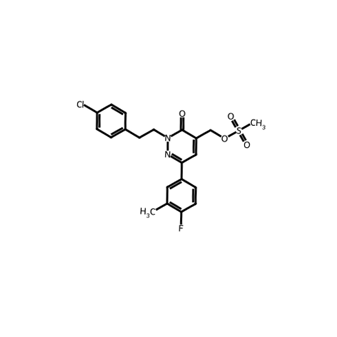 Cc1cc(-c2cc(COS(C)(=O)=O)c(=O)n(CCc3ccc(Cl)cc3)n2)ccc1F